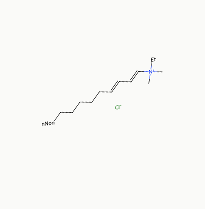 CCCCCCCCCCCCCCC=CC=C[N+](C)(C)CC.[Cl-]